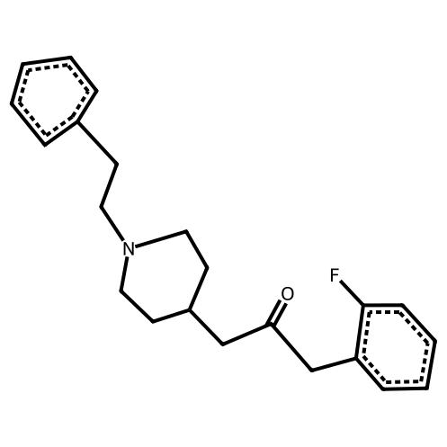 O=C(Cc1ccccc1F)CC1CCN(CCc2ccccc2)CC1